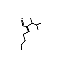 CCCCC=C(C=O)C(C)C(C)C